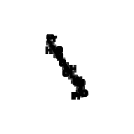 CC(C)CCCCNC(=O)COCCOCCNC(=O)CCCCn1cc(CCC(=O)C(C)C)nn1